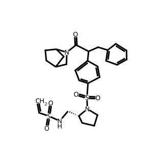 C=CS(=O)(=O)NC[C@H]1CCCN1S(=O)(=O)c1ccc(C(Cc2ccccc2)C(=O)N2CC3CCC2C3)cc1